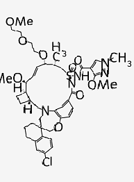 COCCOCCO[C@H]1/C=C/[C@H](OC)[C@@H]2CC[C@H]2CN2C[C@@]3(CCCc4cc(Cl)ccc43)COc3ccc(cc32)C(=O)N=S(=O)(NC(=O)c2cn(C)nc2OC)C[C@H]1C